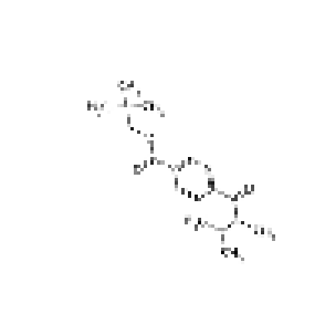 CC(C)C(C)C(=O)c1ccc(C(=O)OCC(C)(C)C)cc1